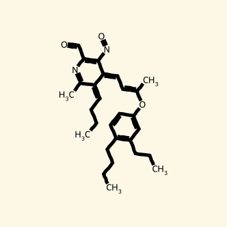 CCC\C=c1/c(C)nc(C=O)c(N=O)/c1=C/C=C(\C)Oc1ccc(CCCC)c(CCC)c1